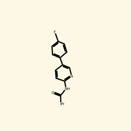 CC(C)C(=O)Nc1ccc(-c2ccc(F)cc2)cn1